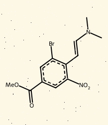 COC(=O)c1cc(Br)c(/C=C/N(C)C)c([N+](=O)[O-])c1